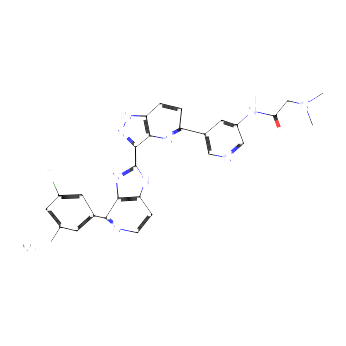 COc1cc(F)cc(-c2nccc3[nH]c(-c4n[nH]c5ccc(-c6cncc(NC(=O)CN(C)C)c6)nc45)nc23)c1